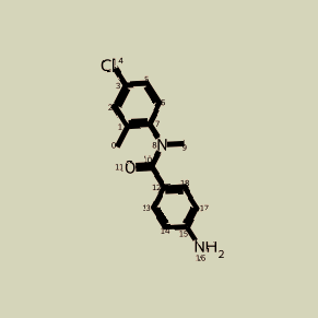 Cc1cc(Cl)ccc1N(C)C(=O)c1ccc(N)cc1